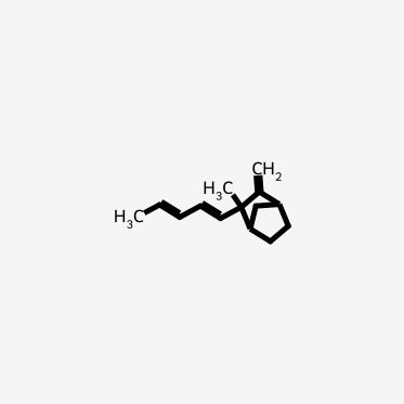 C=C1C2CCC(C2)C1(C)C=CC=CC